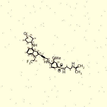 C=C(C)NCCNS(=O)(=O)c1ccc(NCC#Cc2cc3c(NC4CC[S+]([O-])CC4)cccc3n2CC(F)(F)F)c(OC)c1